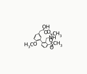 COc1ccc(CC(=O)O)cc1-c1cccc(S(C)(=O)=O)c1CNC(C)=O